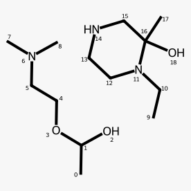 CC(O)OCCN(C)C.CCN1CCNCC1(C)O